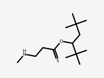 CNCCC(=S)OC(CC(C)(C)C)C(C)(C)C